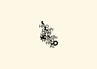 C=CCNC(=O)C(=O)C(CCC)NC(=O)[C@@H]1[C@@H]2[C@H](CN1C(=O)[C@@H](NC(=O)N[C@H](C(C)=O)C1CCCCC1)C(C)(C)C)C2(C)C